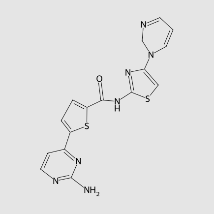 Nc1nccc(-c2ccc(C(=O)Nc3nc(N4C=CC=NC4)cs3)s2)n1